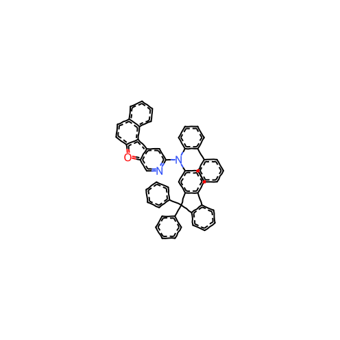 c1ccc(-c2ccccc2N(c2ccc3c(c2)C(c2ccccc2)(c2ccccc2)c2ccccc2-3)c2cc3c(cn2)oc2ccc4ccccc4c23)cc1